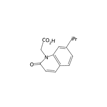 CC(C)c1ccc2ccc(=O)n(CC(=O)O)c2c1